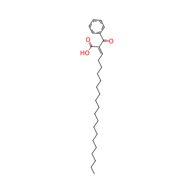 CCCCCCCCCCCCCCCCCCC=C(C(=O)O)C(=O)c1ccccc1